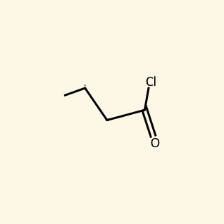 C[CH]CC(=O)Cl